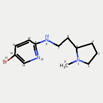 CN1CCCC1CCNc1ccc(Br)cn1